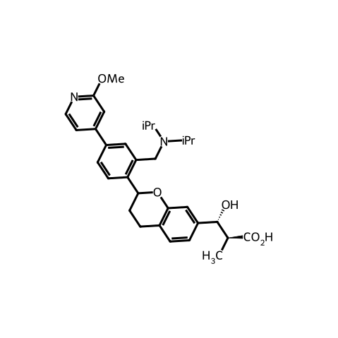 COc1cc(-c2ccc(C3CCc4ccc([C@H](O)[C@H](C)C(=O)O)cc4O3)c(CN(C(C)C)C(C)C)c2)ccn1